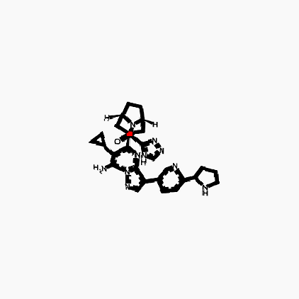 Nc1c(C2CC2)c([C@@H]2C[C@H]3CC[C@@H](C2)N3C(=O)c2nnc[nH]2)nc2c(-c3ccc(C4CCCN4)nc3)cnn12